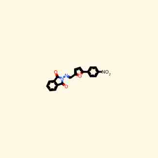 O=C1c2ccccc2C(=O)N1N=Cc1ccc(-c2ccc([N+](=O)[O-])cc2)o1